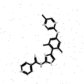 Cc1cnc(Oc2cc(C)c(-c3csc(NC(=O)c4ccncc4)n3)c(C)c2)cn1